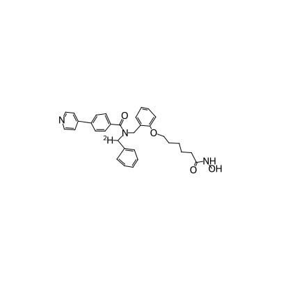 [2H]C(c1ccccc1)N(Cc1ccccc1OCCCCCC(=O)NO)C(=O)c1ccc(-c2ccncc2)cc1